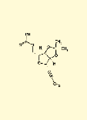 CC#C[C@@H]1O[C@H](COC(C)=O)[C@H]2OC(C)(C)O[C@H]21